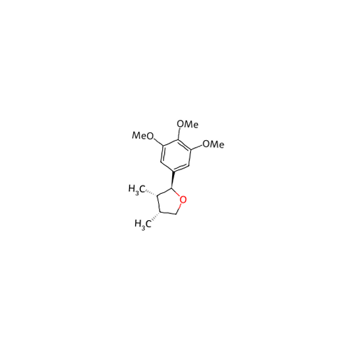 COc1cc([C@H]2OC[C@H](C)[C@@H]2C)cc(OC)c1OC